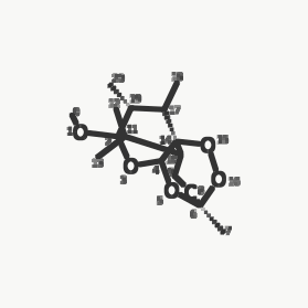 COC1OC2O[C@@]3(C)CCC(C(C)C)[C@@]2(OO3)C(C)[C@H]1C